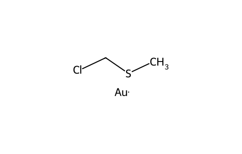 CSCCl.[Au]